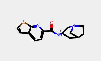 O=C(N[C@@H]1CC2CCN(C2)C1)c1ccc2ccsc2n1